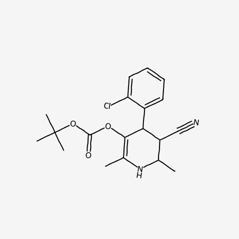 CC1=C(OC(=O)OC(C)(C)C)C(c2ccccc2Cl)C(C#N)C(C)N1